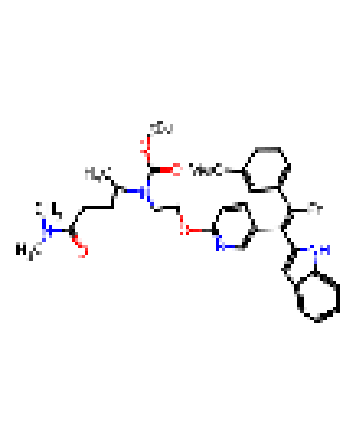 CC/C(=C(/c1ccc(OCCN(C(=O)OC(C)(C)C)C(C)CCC(=O)N(C)C)nc1)c1cc2ccccc2[nH]1)c1cccc(OC)c1